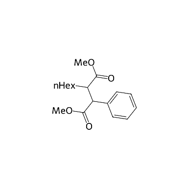 CCCCCCC(C(=O)OC)C(C(=O)OC)c1ccccc1